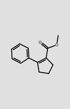 COC(=O)C1=C(c2ccccc2)CCC1